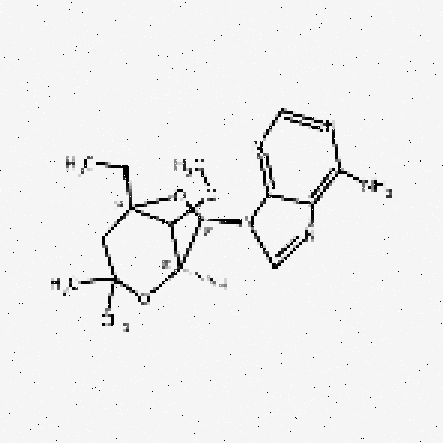 CC[C@]12CC(C)(C)O[C@@H](C1OC)[C@H](n1cnc3c(N)ncnc31)O2